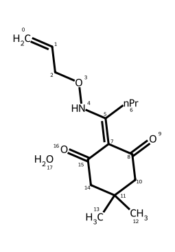 C=CCONC(CCC)=C1C(=O)CC(C)(C)CC1=O.O